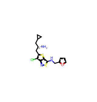 N[C@H](Cc1sc2c(NCc3ccco3)snc2c1Cl)CC1CC1